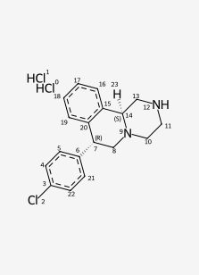 Cl.Cl.Clc1ccc([C@H]2CN3CCNC[C@@H]3c3ccccc32)cc1